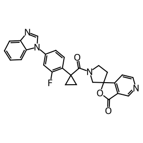 O=C1OC2(CCN(C(=O)C3(c4ccc(-n5cnc6ccccc65)cc4F)CC3)C2)c2ccncc21